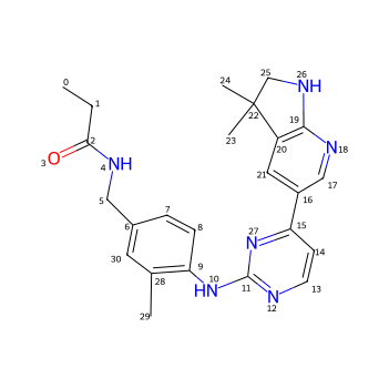 CCC(=O)NCc1ccc(Nc2nccc(-c3cnc4c(c3)C(C)(C)CN4)n2)c(C)c1